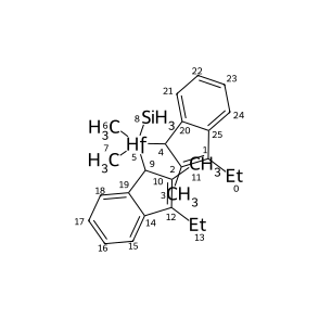 CCC1=C(C)[CH]([Hf]([CH3])([CH3])([SiH3])[CH]2C(C)=C(CC)c3ccccc32)c2ccccc21